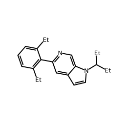 CCc1cccc(CC)c1-c1cc2ccn(C(CC)CC)c2cn1